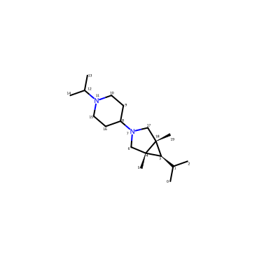 CC(C)[C@H]1[C@]2(C)CN(C3CCN(C(C)C)CC3)C[C@]12C